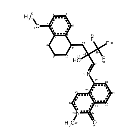 COc1cccc2c1CCCC2CC(O)(C=Nc1cccc2c(=O)n(C)ccc12)C(F)(F)F